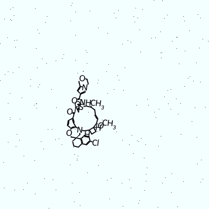 CO[C@H]1/C=C/C[C@H](C)C[S@@](=O)(NC(=O)c2cc3n(c2)CCOC3)=NC(=O)c2ccc3c(c2)N(C[C@@H]2CC[C@H]21)C[C@@]1(CCCc2cc(Cl)ccc21)CO3